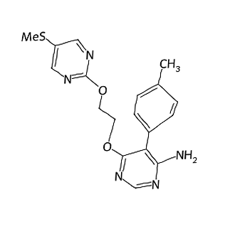 CSc1cnc(OCCOc2ncnc(N)c2-c2ccc(C)cc2)nc1